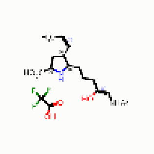 C/C=C\[C@@H]1C[C@H](C(=O)O)N[C@@H]1CCC/C(O)=C/NC(C)=O.O=C(O)C(F)(F)F